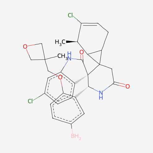 Bc1ccc(OCC2(C)COC2)c([C@H]2NC(=O)CC3(C4CC=C(Cl)[C@H](C)C43)[C@]23C(=O)Nc2cc(Cl)ccc23)c1